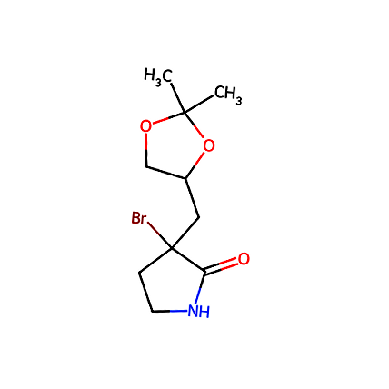 CC1(C)OCC(CC2(Br)CCNC2=O)O1